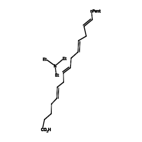 CCCCCC=CCC=CCC=CCC=CCCCC(=O)O.CCN(CC)CC